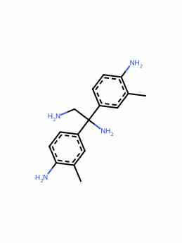 Cc1cc(C(N)(CN)c2ccc(N)c(C)c2)ccc1N